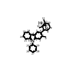 Cc1cc2c(cc1N1C3CCC(C)(CC3)[C@@H]1C)c1ccccc1n2-c1ccccc1